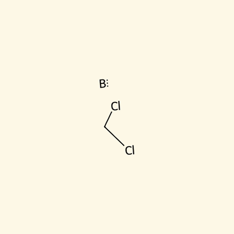 ClCCl.[B]